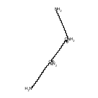 NCCCCCCCCCCCCCCCCCCCCCCC(N)OC(=O)CCCCCCCCCCCCCCCCCC(=O)OC(N)CCCCCCCCCCCCCCCCCCCCCCN